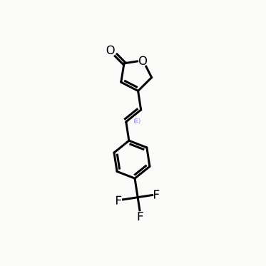 O=C1C=C(/C=C/c2ccc(C(F)(F)F)cc2)CO1